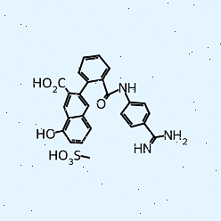 CS(=O)(=O)O.N=C(N)c1ccc(NC(=O)c2ccccc2-c2cc3cccc(O)c3cc2C(=O)O)cc1